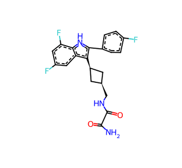 NC(=O)C(=O)NC[C@H]1C[C@@H](c2c(-c3ccc(F)cc3)[nH]c3c(F)cc(F)cc32)C1